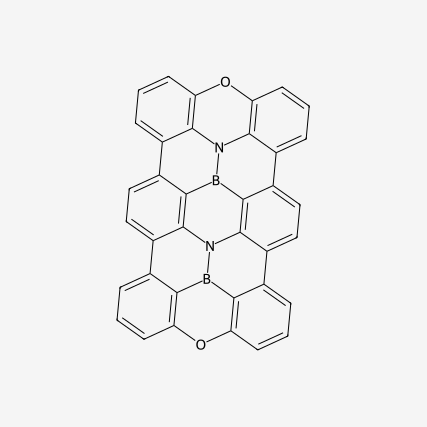 c1cc2c3c(c1)-c1ccc4c5c1N1B3c3c(cccc3-c3ccc6c(c31)B5N1c3c(cccc3-4)Oc3cccc-6c31)O2